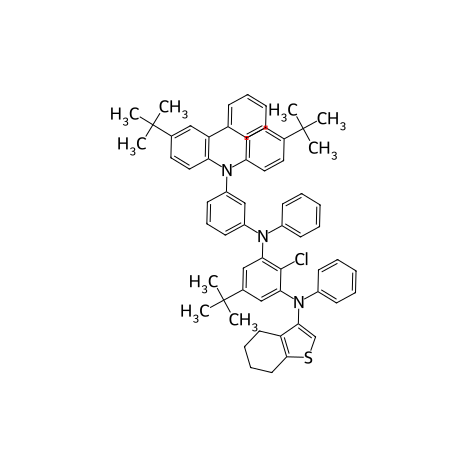 CC(C)(C)c1ccc(N(c2cccc(N(c3ccccc3)c3cc(C(C)(C)C)cc(N(c4ccccc4)c4csc5c4CCCC5)c3Cl)c2)c2ccc(C(C)(C)C)cc2-c2ccccc2)cc1